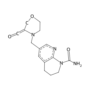 NC(=O)N1CCCc2cc(CN3CCOCC3=C=O)cnc21